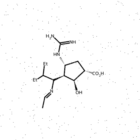 C/C=N/C(C(CC)CC)[C@@H]1[C@H](O)[C@@H](C(=O)O)C[C@H]1NC(=N)N